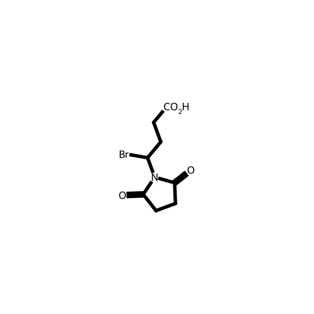 O=C(O)CCC(Br)N1C(=O)CCC1=O